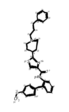 O=C(Nc1ccccc1-c1ccc(OC(F)(F)F)cc1)c1csc(C2CCN(CCCc3ccccc3)CC2)n1